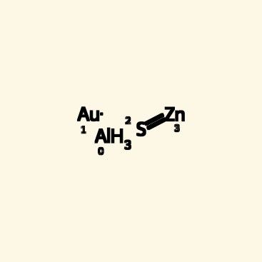 [AlH3].[Au].[S]=[Zn]